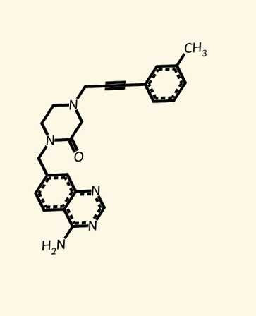 Cc1cccc(C#CCN2CCN(Cc3ccc4c(N)ncnc4c3)C(=O)C2)c1